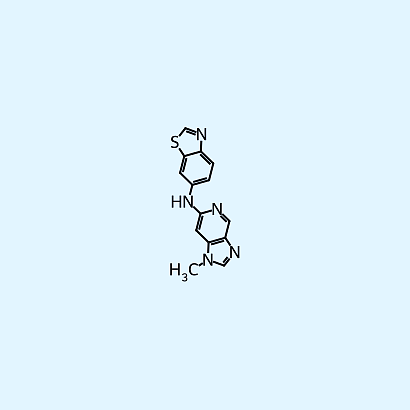 Cn1cnc2cnc(Nc3ccc4ncsc4c3)cc21